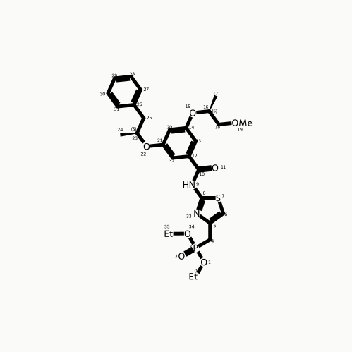 CCOP(=O)(Cc1csc(NC(=O)c2cc(O[C@@H](C)COC)cc(O[C@@H](C)Cc3ccccc3)c2)n1)OCC